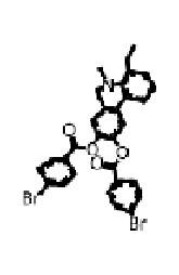 CCc1cccc2c1N(C)Cc1cc(OC(=O)c3ccc(Br)cc3)c(OC(=O)c3ccc(Br)cc3)cc1-2